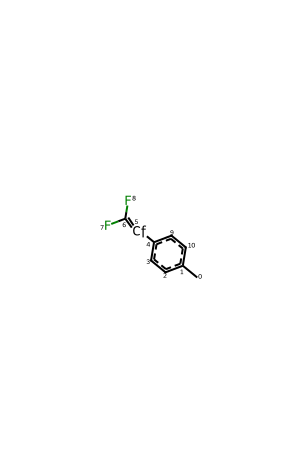 Cc1cc[c]([Cf]=[C](F)F)cc1